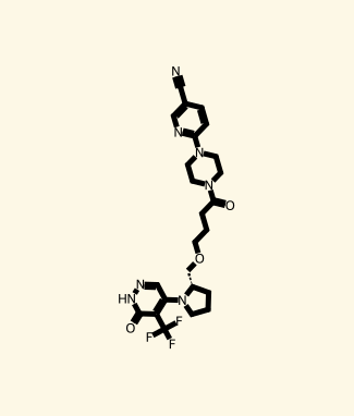 N#Cc1ccc(N2CCN(C(=O)CCCOC[C@@H]3CCCN3c3cn[nH]c(=O)c3C(F)(F)F)CC2)nc1